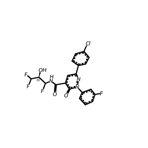 O=C(NC(F)[C@H](O)C(F)F)c1cc(-c2ccc(Cl)cc2)nn(-c2cccc(F)c2)c1=O